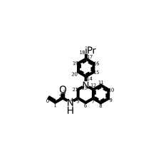 C=CC(=O)NC1Cc2ccccc2N(c2ccc(C(C)C)cc2)C1